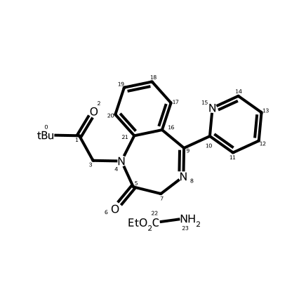 CC(C)(C)C(=O)CN1C(=O)CN=C(c2ccccn2)c2ccccc21.CCOC(N)=O